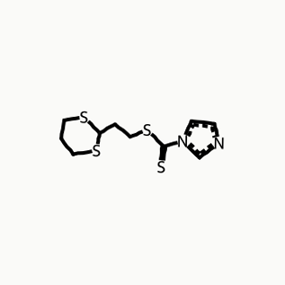 S=C(SCCC1SCCCS1)n1ccnc1